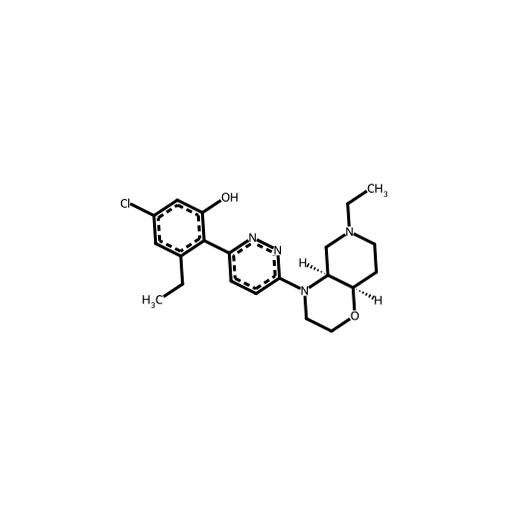 CCc1cc(Cl)cc(O)c1-c1ccc(N2CCO[C@@H]3CCN(CC)C[C@@H]32)nn1